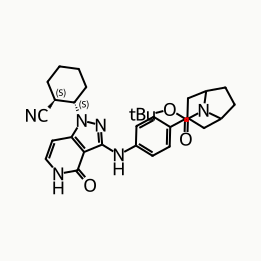 CC(C)(C)OC(=O)N1C2CCC1CC(c1ccc(Nc3nn([C@H]4CCCC[C@@H]4C#N)c4cc[nH]c(=O)c34)cc1)C2